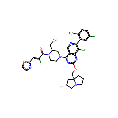 N#CC[C@H]1CN(c2nc(OC[C@@]34CCCN3C[C@H](F)C4)nc3c(F)c(-c4cc(F)ccc4C(F)(F)F)ncc23)CCN1C(=O)/C(F)=C/c1nccs1